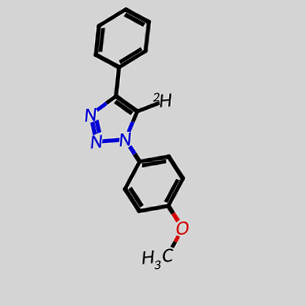 [2H]c1c(-c2ccccc2)nnn1-c1ccc(OC)cc1